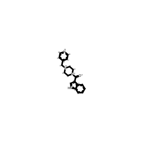 O=C(c1c[nH]c2ccccc12)N1CCN(Cc2ccncc2)CC1